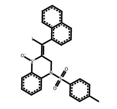 Cc1ccc(S(=O)(=O)N2CC(=C(I)c3cccc4ccccc34)[S+]([O-])c3ccccc32)cc1